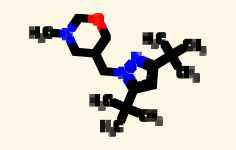 CN1COCC(Cn2nc(C(C)(C)C)cc2C(C)(C)C)C1